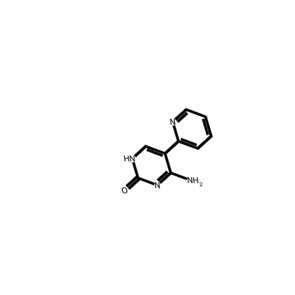 Nc1nc(=O)[nH]cc1-c1ccccn1